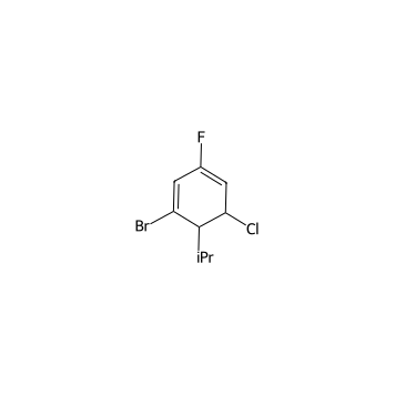 CC(C)C1C(Br)=CC(F)=CC1Cl